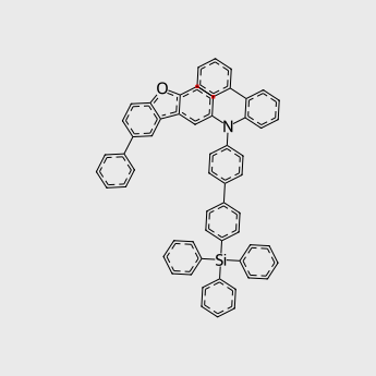 c1ccc(-c2ccc3oc4ccc(N(c5ccc(-c6ccc([Si](c7ccccc7)(c7ccccc7)c7ccccc7)cc6)cc5)c5ccccc5-c5ccccc5)cc4c3c2)cc1